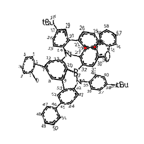 Cc1ccccc1-c1cc2c3c(c1)N(c1ccc(C(C)(C)C)cc1-c1ccccc1)c1cc4c(cc1B3N(c1ccc(C(C)(C)C)cc1)c1ccc(-c3ccccc3)cc1-2)oc1ccccc14